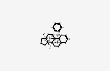 C[C@@]12CCC[C@H]1[C@@H]1CCC3CC=CC[C@@H]3[C@H]1[C@@H](c1ccccc1)C2